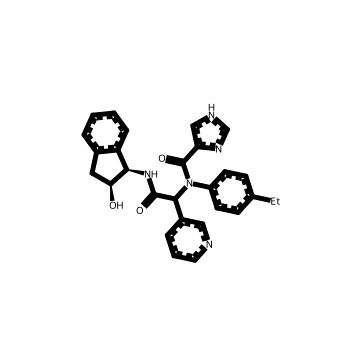 CCc1ccc(N(C(=O)c2c[nH]cn2)C(C(=O)N[C@@H]2c3ccccc3C[C@@H]2O)c2cccnc2)cc1